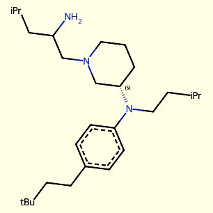 CC(C)CCN(c1ccc(CCC(C)(C)C)cc1)[C@H]1CCCN(CC(N)CC(C)C)C1